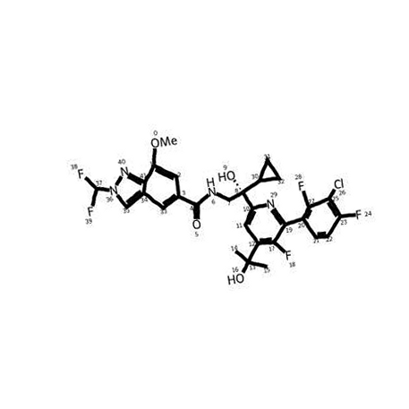 COc1cc(C(=O)NC[C@](O)(c2cc(C(C)(C)O)c(F)c(-c3ccc(F)c(Cl)c3F)n2)C2CC2)cc2cn(C(F)F)nc12